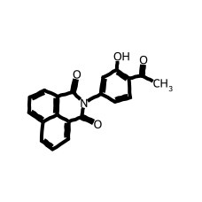 CC(=O)c1ccc(N2C(=O)c3cccc4cccc(c34)C2=O)cc1O